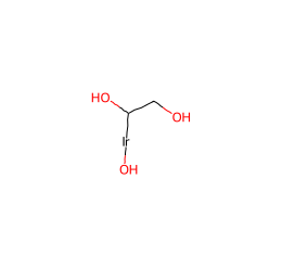 OC[CH](O)[Ir][OH]